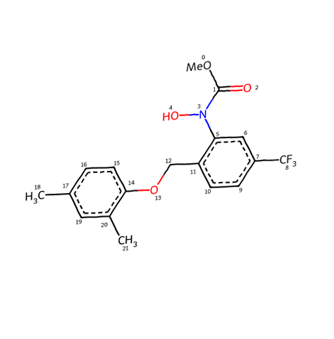 COC(=O)N(O)c1cc(C(F)(F)F)ccc1COc1ccc(C)cc1C